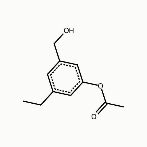 CCc1cc(CO)cc(OC(C)=O)c1